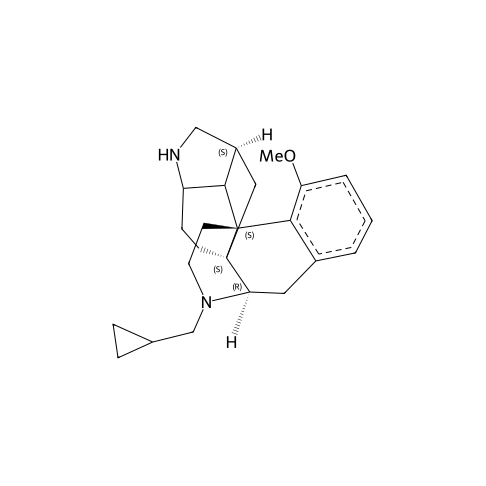 COc1cccc2c1[C@]13CCN(CC4CC4)[C@H](C2)[C@]12CCC1NC[C@@H](C2)C13